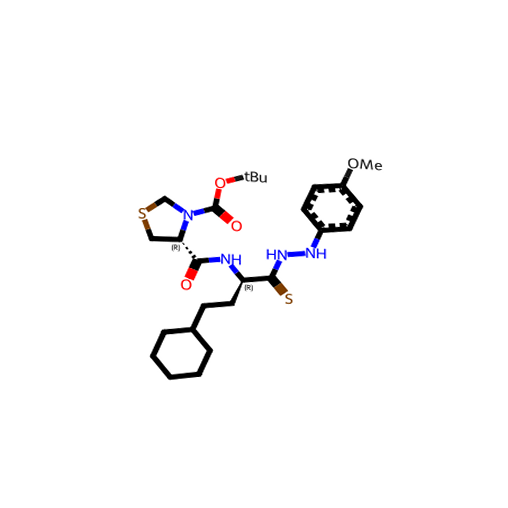 COc1ccc(NNC(=S)[C@@H](CCC2CCCCC2)NC(=O)[C@@H]2CSCN2C(=O)OC(C)(C)C)cc1